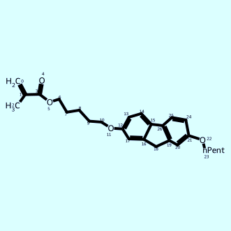 C=C(C)C(=O)OCCCCCOc1ccc2c(c1)Cc1cc(OCCCCC)ccc1-2